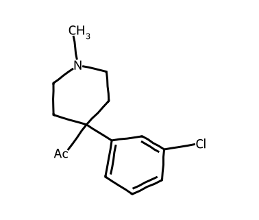 CC(=O)C1(c2cccc(Cl)c2)CCN(C)CC1